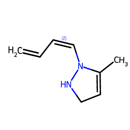 C=C/C=C\N1NCC=C1C